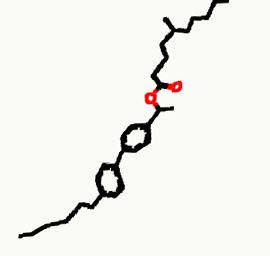 CCCCCCc1ccc(-c2ccc(C(C)OC(=O)CCCC(C)CCCCC)cc2)cc1